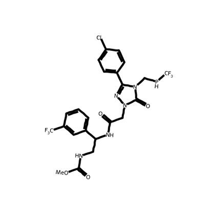 COC(=O)NCC(NC(=O)Cn1nc(-c2ccc(Cl)cc2)n(CPC(F)(F)F)c1=O)c1cccc(C(F)(F)F)c1